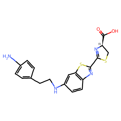 Nc1ccc(CCNc2ccc3nc(C4=N[C@@H](C(=O)O)CS4)sc3c2)cc1